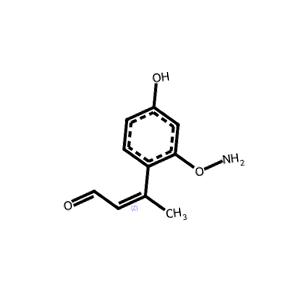 C/C(=C/C=O)c1ccc(O)cc1ON